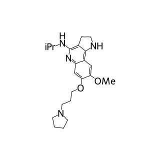 COc1cc2c3c(c(NC(C)C)nc2cc1OCCCN1CCCC1)CCN3